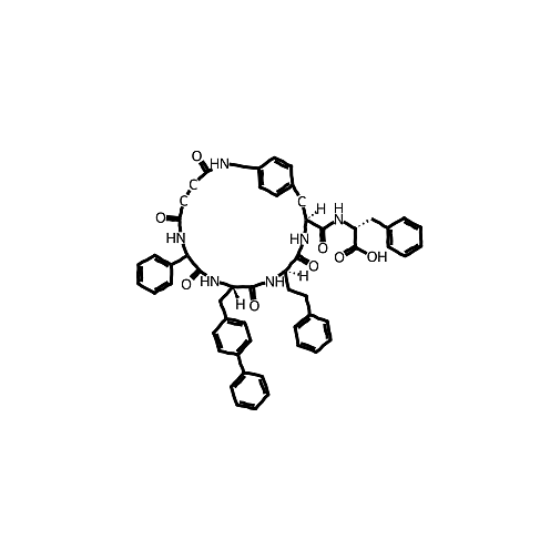 O=C1CCC(=O)NC(c2ccccc2)C(=O)N[C@@H](Cc2ccc(-c3ccccc3)cc2)C(=O)N[C@H](CCc2ccccc2)C(=O)N[C@H](C(=O)N[C@H](Cc2ccccc2)C(=O)O)Cc2ccc(cc2)N1